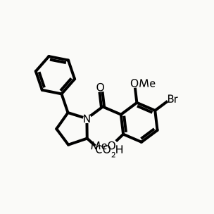 COc1ccc(Br)c(OC)c1C(=O)N1C(C(=O)O)CCC1c1ccccc1